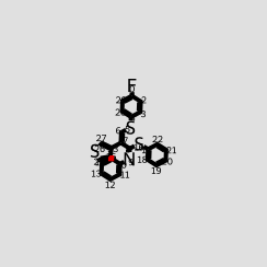 Fc1ccc(SC=C(/C(=N\c2ccccc2)Sc2ccccc2)c2ccsc2)cc1